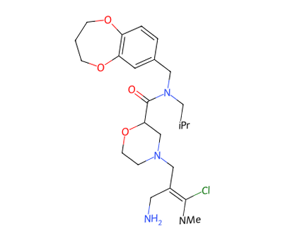 CN/C(Cl)=C(\CN)CN1CCOC(C(=O)N(Cc2ccc3c(c2)OCCCO3)CC(C)C)C1